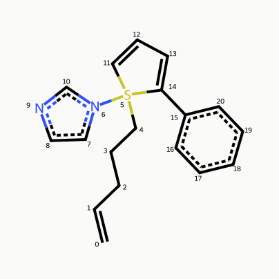 C=CCCCS1(n2ccnc2)C=CC=C1c1ccccc1